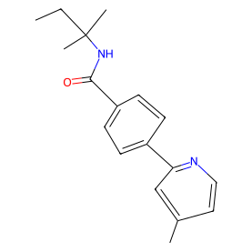 CCC(C)(C)NC(=O)c1ccc(-c2cc(C)ccn2)cc1